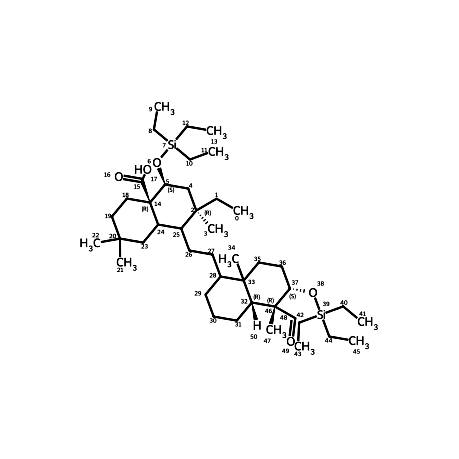 CC[C@]1(C)C[C@H](O[Si](CC)(CC)CC)[C@@]2(C(=O)O)CCC(C)(C)CC2C1CCC1CCC[C@@H]2C1(C)CC[C@H](O[Si](CC)(CC)CC)[C@]2(C)C=O